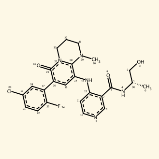 C[C@@H](CO)NC(=O)c1cnccc1Nc1cc(-c2cc(Cl)ccc2F)c(=O)n2c1N(C)CCC2